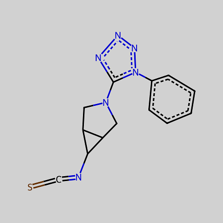 S=C=NC1C2CN(c3nnnn3-c3ccccc3)CC21